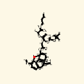 C=C(O[C@@H](C)C(=O)OCCCC)[C@H](CC(=O)OC1=CC[C@@]2(O)[C@H]3Cc4ccc(OC)c5c4[C@@]2(CCN3C)[C@H]1O5)OC(=O)OC(C)(C)C